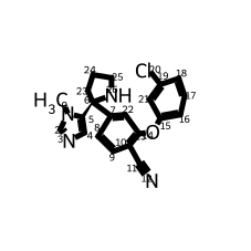 Cn1cncc1[C@@]1(c2ccc(C#N)c(Oc3cccc(Cl)c3)c2)CCCN1